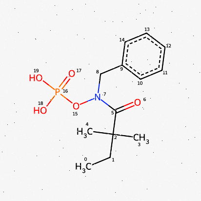 CCC(C)(C)C(=O)N(Cc1ccccc1)OP(=O)(O)O